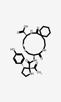 CC(=O)[C@@]1(C(=O)N[C@H]2CSSC[C@@H](C(=O)O)NC(=O)C3(CCCCC3)CCNC2=O)NCC[C@@H]1c1ccc(O)cc1